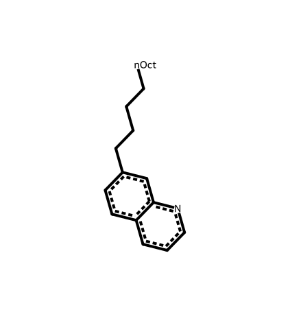 CCCCCCCCCCCCc1ccc2cccnc2c1